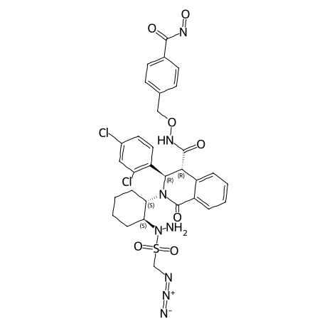 [N-]=[N+]=NCS(=O)(=O)N(N)[C@H]1CCCC[C@@H]1N1C(=O)c2ccccc2[C@@H](C(=O)NOCc2ccc(C(=O)N=O)cc2)[C@@H]1c1ccc(Cl)cc1Cl